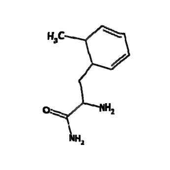 CC1C=CC=CC1CC(N)C(N)=O